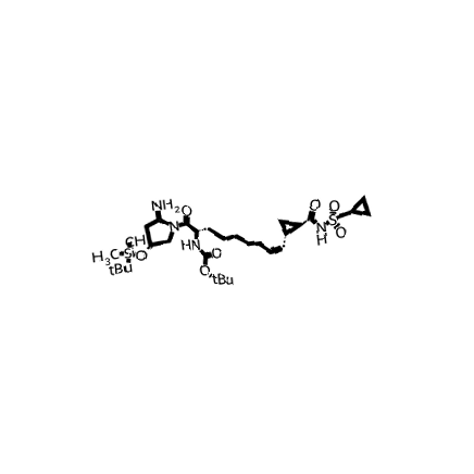 CC(C)(C)OC(=O)N[C@@H](CCCCC/C=C\[C@@H]1C[C@@H]1C(=O)NS(=O)(=O)C1CC1)C(=O)N1C[C@H](O[Si](C)(C)C(C)(C)C)CC1N